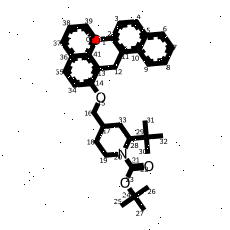 COc1ccc2ccccc2c1Cc1c(OCC2CCN(C(=O)OC(C)(C)C)C(C(C)(C)C)C2)ccc2ccccc12